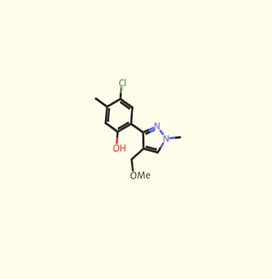 COCc1cn(C)nc1-c1cc(Cl)c(C)cc1O